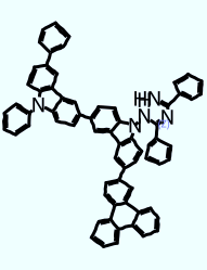 N=C(/N=C(\Nn1c2ccc(-c3ccc4c5ccccc5c5ccccc5c4c3)cc2c2cc(-c3ccc4c(c3)c3cc(-c5ccccc5)ccc3n4-c3ccccc3)ccc21)c1ccccc1)c1ccccc1